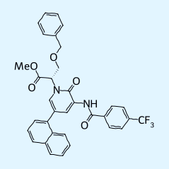 COC(=O)[C@H](COCc1ccccc1)n1cc(-c2cccc3ccccc23)cc(NC(=O)c2ccc(C(F)(F)F)cc2)c1=O